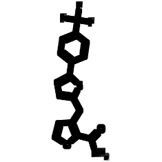 NC(=O)c1occc1Cc1ccc(-c2ccc(C(F)(F)F)cc2)s1